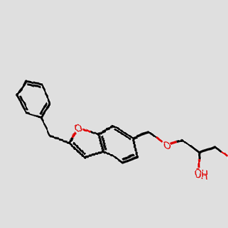 OCC(O)COCc1ccc2cc(Cc3ccccc3)oc2c1